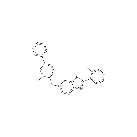 Fc1cc(-c2ccccc2)ccc1Cn1ccc2nc(-c3ccccc3F)nc-2c1